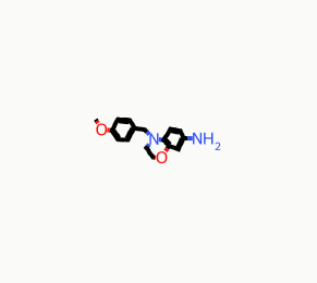 COc1ccc(CN2CCOc3cc(N)ccc32)cc1